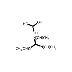 CN(O)C(N(C)O)N(C)O.OB(O)O